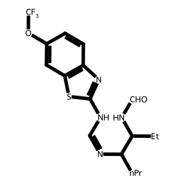 CCCC(/N=C\Nc1nc2ccc(OC(F)(F)F)cc2s1)C(CC)NC=O